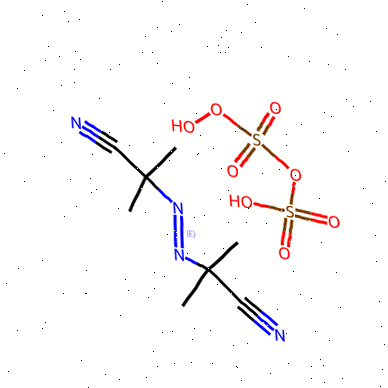 CC(C)(C#N)/N=N/C(C)(C)C#N.O=S(=O)(O)OS(=O)(=O)OO